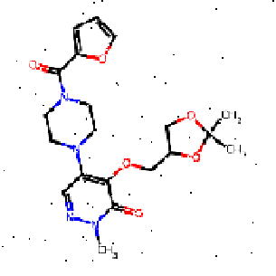 Cn1ncc(N2CCN(C(=O)c3ccco3)CC2)c(OCC2COC(C)(C)O2)c1=O